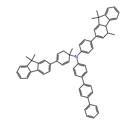 CC1C=C(c2ccc(N(c3ccc(-c4ccc(-c5ccccc5)cc4)cc3)C3(C)C=CC(c4ccc5c(c4)C(C)(C)c4ccccc4-5)=CC3)cc2)C=C2C1c1ccccc1C2(C)C